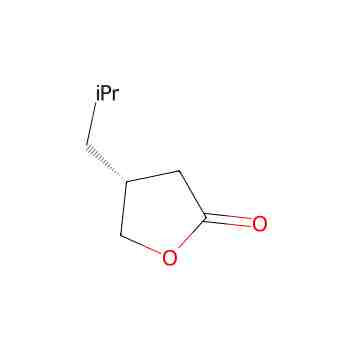 CC(C)C[C@H]1COC(=O)C1